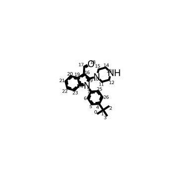 CC(C)(C)c1ccc(-n2c(N3CCNCC3)c(C=O)c3ccccc32)cc1